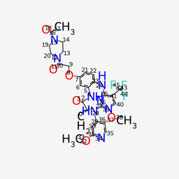 C=CC(=O)Nc1cc(OCC(=O)N2CCN(C(C)=O)CC2)ccc1Nc1nc(Nc2cc(OC)ncc2OC)ncc1C(F)(F)F